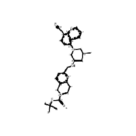 C[C@H]1C[C@@H](NCc2ccc3c(n2)CCN(C(=O)OC(C)(C)C)C3)CN(c2ccc(C#N)c3ncccc23)C1